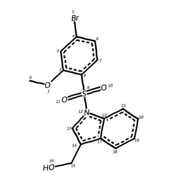 COc1cc(Br)ccc1S(=O)(=O)n1cc(CO)c2ccccc21